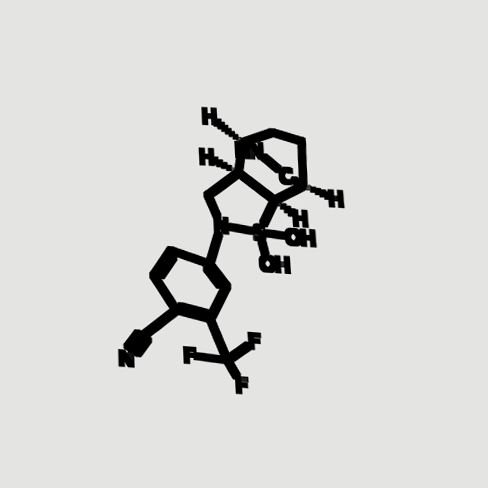 N#Cc1ccc(N2C[C@@H]3[C@@H]([C@@H]4CC[C@H]3NC4)S2(O)O)cc1C(F)(F)F